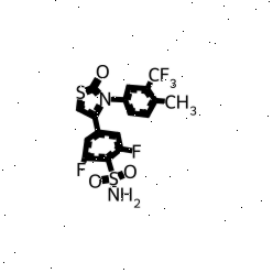 Cc1ccc(-n2c(-c3cc(F)c(S(N)(=O)=O)c(F)c3)csc2=O)cc1C(F)(F)F